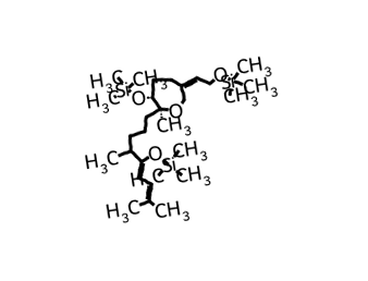 CC(C)=CC=C(O[Si](C)(C)C)C(C)CCC[C@]1(C)OCC(=CCO[Si](C)(C)C)CC[C@H]1O[Si](C)(C)C